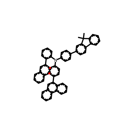 CC1(C)c2ccccc2-c2ccc(-c3ccc(N(c4ccc(-c5cc6ccccc6c6ccccc56)cc4)c4ccccc4-c4ccc5ccccc5c4)cc3)cc21